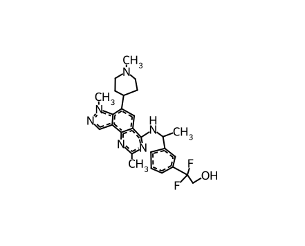 Cc1nc(NC(C)c2cccc(C(F)(F)CO)c2)c2cc(C3CCN(C)CC3)c3c(cnn3C)c2n1